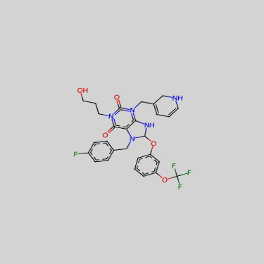 O=c1c2c(n(CC3=CC=CNC3)c(=O)n1CCCO)NC(Oc1cccc(OC(F)(F)F)c1)N2Cc1ccc(F)cc1